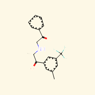 Cc1cc(C(=O)[C@H](C)NCC(=O)c2ccccc2)cc(C(F)(F)F)c1